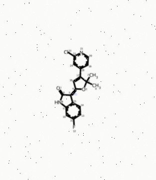 CC1(C)O/C(=C2/C(=O)Nc3cc(F)ccc32)C=C1c1ccnc(Cl)c1